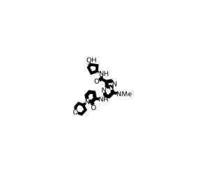 CNc1cc(Nc2cccn(C3CCOCC3)c2=O)nc2c(C(=O)N[C@@H]3CC[C@H](O)C3)cnn12